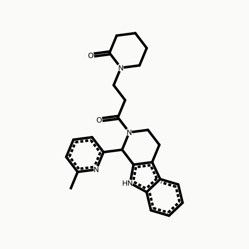 Cc1cccc(C2c3[nH]c4ccccc4c3CCN2C(=O)CCN2CCCCC2=O)n1